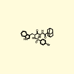 O=C(NNC(=O)C12CC3CC(CC(C3)C1)C2)[C@H](Cc1c[nH]c2ccccc12)NS(=O)(=O)c1ccc(Br)cc1